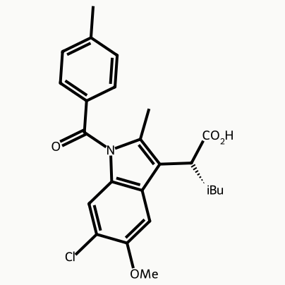 CC[C@@H](C)C(C(=O)O)c1c(C)n(C(=O)c2ccc(C)cc2)c2cc(Cl)c(OC)cc12